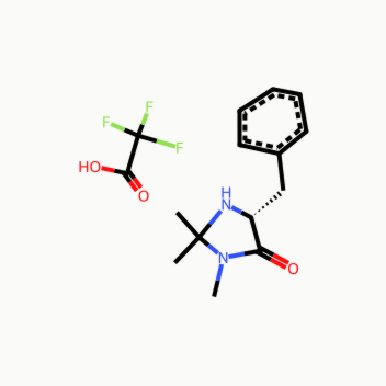 CN1C(=O)[C@@H](Cc2ccccc2)NC1(C)C.O=C(O)C(F)(F)F